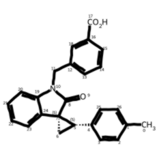 Cc1ccc([C@@H]2C[C@]23C(=O)N(Cc2cccc(C(=O)O)c2)c2ccccc23)cc1